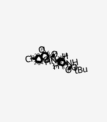 CC(C)(C)OC(=O)N[C@H]1C[C@H]2C[C@@H]1C[C@@H]2NC(=O)[C@H]1CC(=O)c2cc(Cl)ccc2O1